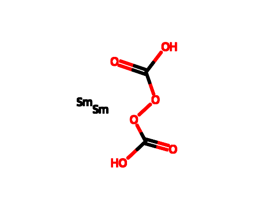 O=C(O)OOC(=O)O.[Sm].[Sm]